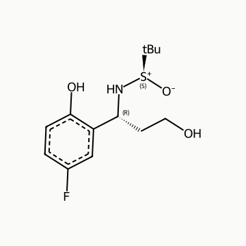 CC(C)(C)[S@@+]([O-])N[C@H](CCO)c1cc(F)ccc1O